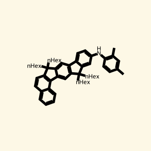 CCCCCCC1(CCCCCC)c2cc(Nc3ccc(C)cc3C)ccc2-c2cc3c(cc21)-c1c(ccc2ccccc12)C3(CCCCCC)CCCCCC